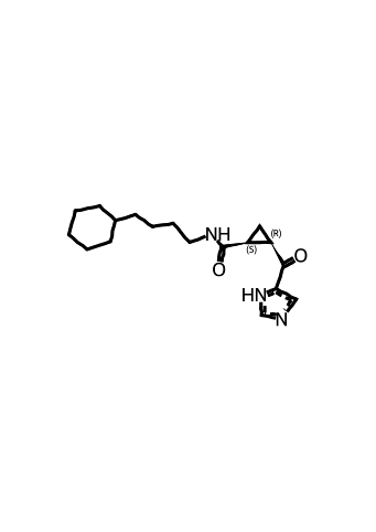 O=C(NCCCCC1CCCCC1)[C@H]1C[C@H]1C(=O)c1cnc[nH]1